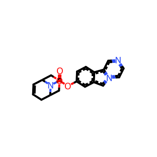 O=C(Oc1ccc2c(c1)cn1ccncc21)N1C2C=CCC1COC2